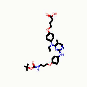 C=CN(c1ccc(OCCCC(=O)O)cc1)c1nc(Nc2ccc(OCCCNC(=O)OC(C)(C)C)cc2)ncc1C